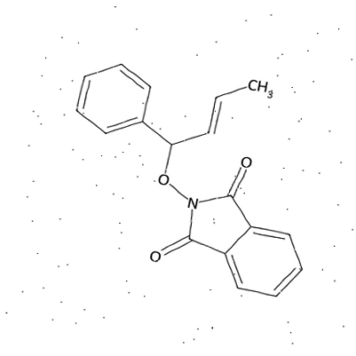 C/C=C/C(ON1C(=O)c2ccccc2C1=O)c1ccccc1